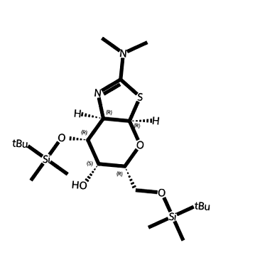 CN(C)C1=N[C@@H]2[C@@H](O[Si](C)(C)C(C)(C)C)[C@@H](O)[C@@H](CO[Si](C)(C)C(C)(C)C)O[C@@H]2S1